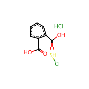 Cl.O=C(O)c1ccccc1C(=O)O.SCl